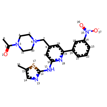 CC(=O)N1CCN(Cc2cc(Nc3ncc(C)s3)nc(-c3cccc([N+](=O)[O-])c3)c2)CC1